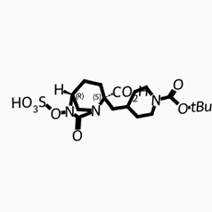 CC(C)(C)OC(=O)N1CCC(C[C@]2(C(=O)O)CC[C@@H]3CN2C(=O)N3OS(=O)(=O)O)CC1